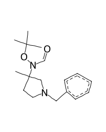 CC(C)(C)ON(C=O)C1(C)CCN(Cc2ccccc2)C1